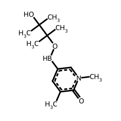 Cc1cc(BOC(C)(C)C(C)(C)O)cn(C)c1=O